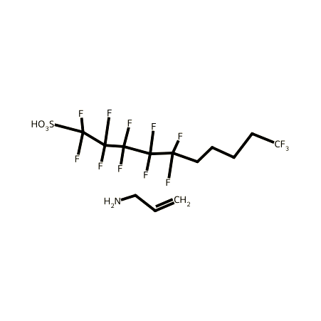 C=CCN.O=S(=O)(O)C(F)(F)C(F)(F)C(F)(F)C(F)(F)C(F)(F)CCCCC(F)(F)F